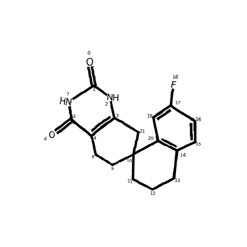 O=c1[nH]c2c(c(=O)[nH]1)CCC1(CCCc3ccc(F)cc31)C2